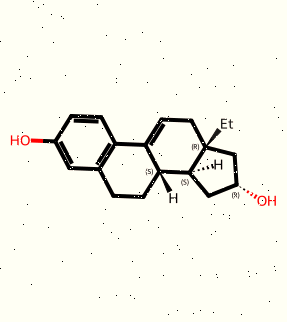 CC[C@]12CC=C3c4ccc(O)cc4CC[C@H]3[C@@H]1C[C@@H](O)C2